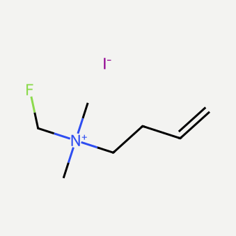 C=CCC[N+](C)(C)CF.[I-]